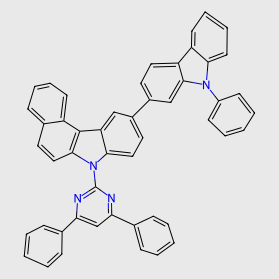 c1ccc(-c2cc(-c3ccccc3)nc(-n3c4ccc(-c5ccc6c7ccccc7n(-c7ccccc7)c6c5)cc4c4c5ccccc5ccc43)n2)cc1